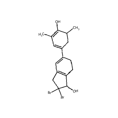 CC1=C(O)C(C)CC(C2=CC3=C(CC2)C(O)C(Br)(Br)C3)=C1